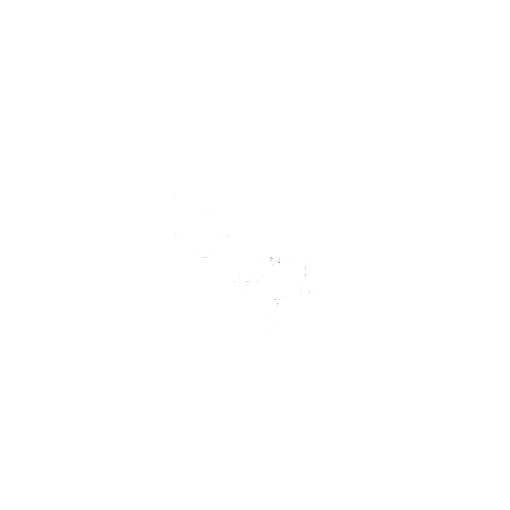 CC1=N/C(=C\c2ccc(F)cc2)C(=O)O1